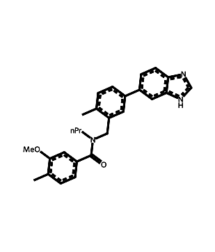 CCCN(Cc1cc(-c2ccc3nc[nH]c3c2)ccc1C)C(=O)c1ccc(C)c(OC)c1